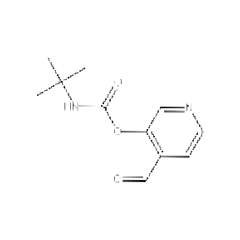 CC(C)(C)NC(=O)Oc1cnccc1C=O